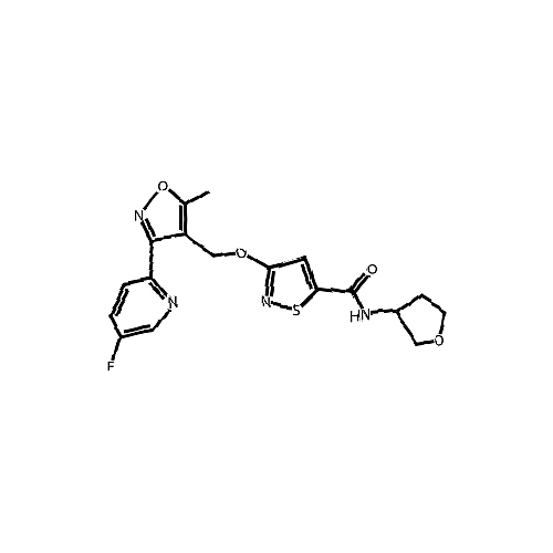 Cc1onc(-c2ccc(F)cn2)c1COc1cc(C(=O)NC2CCOC2)sn1